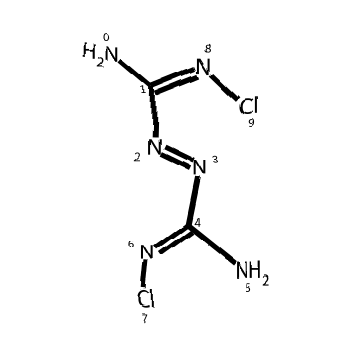 NC(N=NC(N)=NCl)=NCl